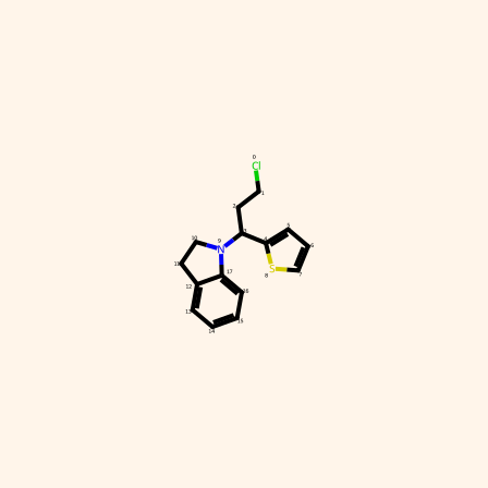 ClCCC(c1cccs1)N1CCc2ccccc21